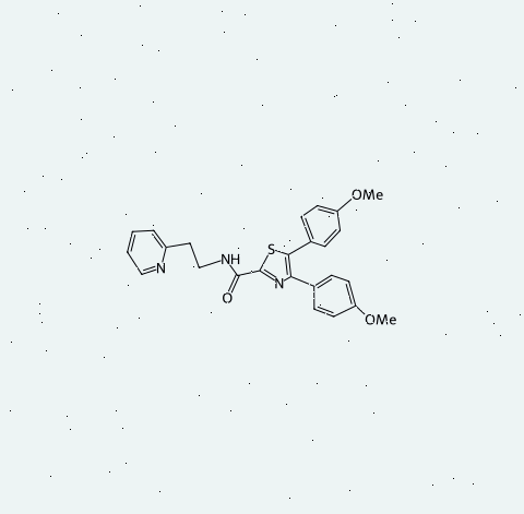 COc1ccc(-c2nc(C(=O)NCCc3ccccn3)sc2-c2ccc(OC)cc2)cc1